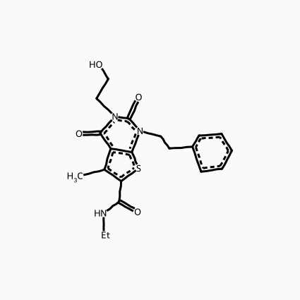 CCNC(=O)c1sc2c(c1C)c(=O)n(CCO)c(=O)n2CCc1ccccc1